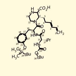 C=CC=CCC[C@H]1C(C(=O)O)NCCN1C(=O)[C@H](Cc1cccc(O[Si](C)(C)C(C)(C)C)c1)NC(=O)[C@@H](NC(=O)OC(C)(C)C)C(C)C